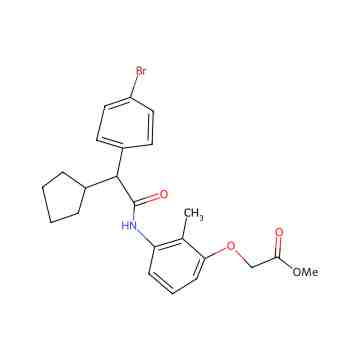 COC(=O)COc1cccc(NC(=O)C(c2ccc(Br)cc2)C2CCCC2)c1C